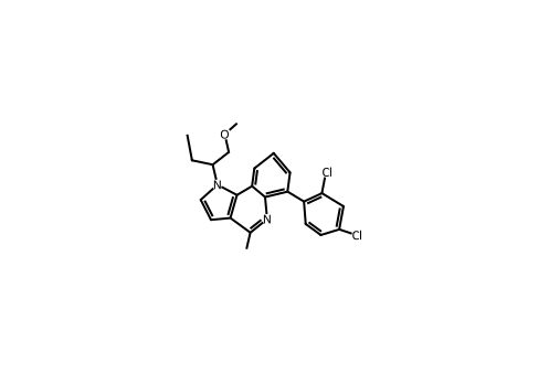 CCC(COC)n1ccc2c(C)nc3c(-c4ccc(Cl)cc4Cl)cccc3c21